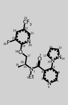 CCN(C(=O)c1cnccc1-n1cccn1)[C@@H](C)COc1ncc(C(F)(F)F)cc1F